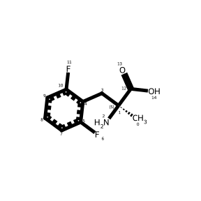 C[C@](N)(Cc1c(F)cccc1F)C(=O)O